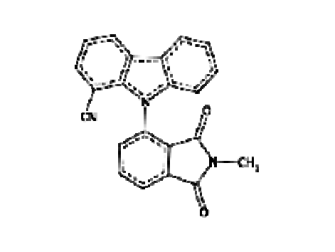 CN1C(=O)c2cccc(-n3c4ccccc4c4cccc(C#N)c43)c2C1=O